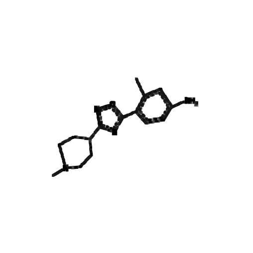 Cc1cc(N)ccc1-c1nc(C2CCN(C)CC2)no1